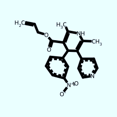 C=CCOC(=O)C1=C(C)NC(C)=C(c2ccncc2)C1c1cccc([N+](=O)[O-])c1